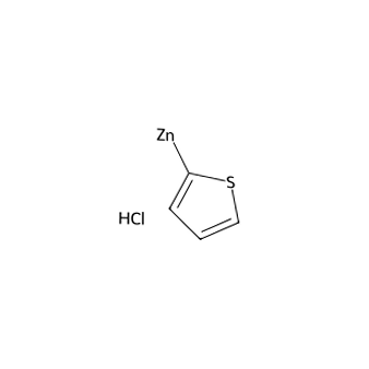 Cl.[Zn][c]1cccs1